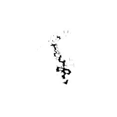 COC(=O)Nc1nc(C)c(S(=O)(=O)N2CCN(CC(C)Nc3ncnc4c(C(=O)N5CCC5)cccc34)CC2)s1